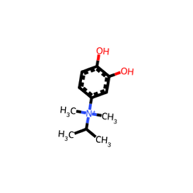 CC(C)[N+](C)(C)c1ccc(O)c(O)c1